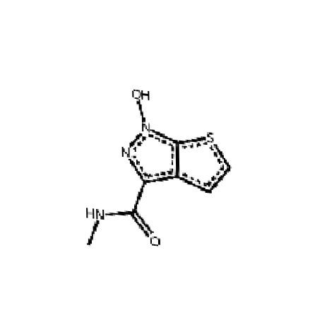 CNC(=O)c1nn(O)c2sccc12